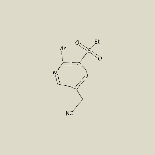 CCS(=O)(=O)c1cc(CC#N)cnc1C(C)=O